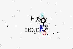 CCOC(=O)CN1N=C(c2ccc(F)c(C)c2)CCC1=O